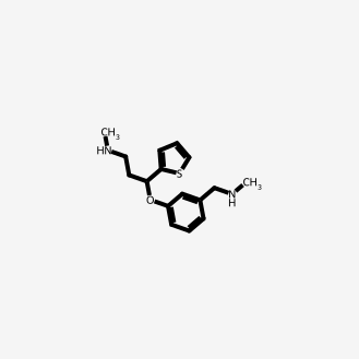 CNCCC(Oc1cccc(CNC)c1)c1cccs1